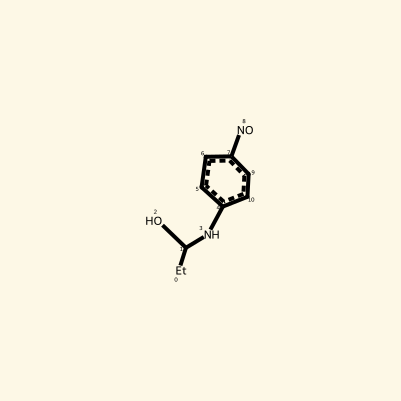 CCC(O)Nc1ccc(N=O)cc1